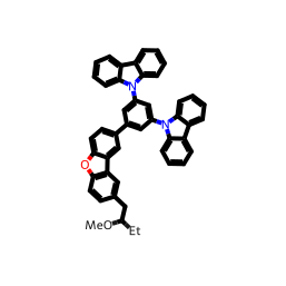 CCC(Cc1ccc2oc3ccc(-c4cc(-n5c6ccccc6c6ccccc65)cc(-n5c6ccccc6c6ccccc65)c4)cc3c2c1)OC